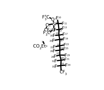 CCOC(C)=O.FC(F)(F)O[Si](OC(F)(F)F)(OC(F)(F)F)C(F)(F)C(F)(F)C(F)(F)C(F)(F)C(F)(F)C(F)(F)C(F)(F)C(F)(F)C(F)(F)C(F)(F)F